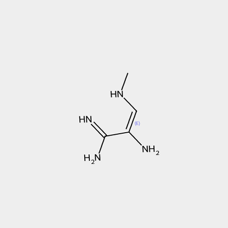 CN/C=C(/N)C(=N)N